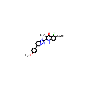 COc1ccc2[nH]c(-c3nc4ccc(-c5ccc(OC(F)(F)F)cc5)cn4n3)c(C)c(=O)c2c1Cl